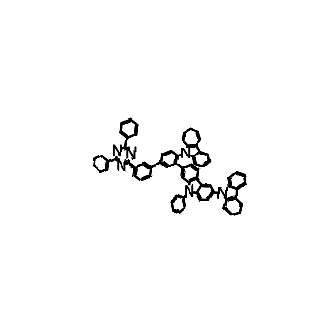 C1=Cc2c(n(-c3ccc(-c4cccc(-c5nc(C6=CCCCC6)nc(-c6ccccc6)n5)c4)cc3-c3ccc4c5cc(-n6c7c(c8ccccc86)CCC=C7)ccc5n(-c5ccccc5)c4c3)c3ccccc23)C=CC1